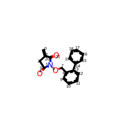 C=C1CC(=O)N(OCc2ccccc2-c2ccccc2)C1=O